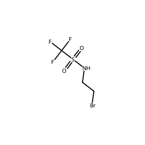 O=S(=O)(NCCBr)C(F)(F)F